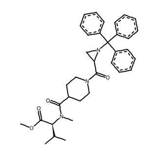 COC(=O)[C@H](C(C)C)N(C)C(=O)C1CCN(C(=O)C2CN2C(c2ccccc2)(c2ccccc2)c2ccccc2)CC1